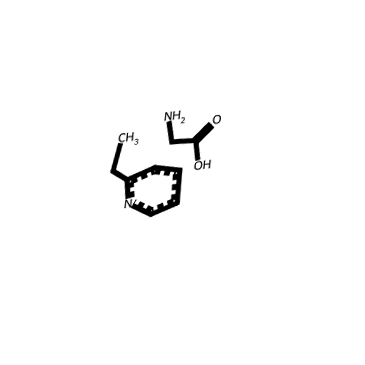 CCc1ccccn1.NCC(=O)O